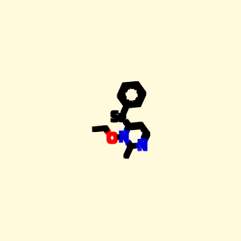 CCON1C([Se]c2ccccc2)=CC=NC1C